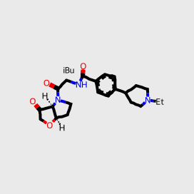 CC[C@H](C)C(NC(=O)c1ccc(C2CCN(CC)CC2)cc1)C(=O)N1CC[C@H]2OCC(=O)[C@H]21